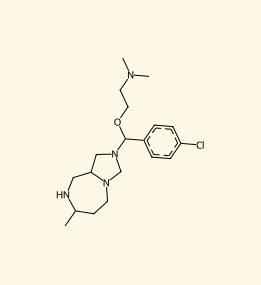 CC1CCN2CN(C(OCCN(C)C)c3ccc(Cl)cc3)CC2CN1